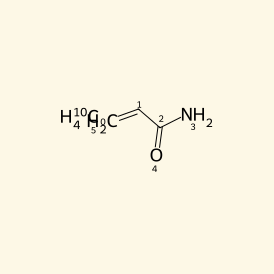 C=CC(N)=O.[10CH4]